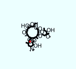 CC[C@H]1OC(=O)[C@H](C)[C@@H](OC2CC(C)(OC)C(O)C(C)O2)C(C)[C@@H](OC2OC(C)CC(N(C)C)C2O)[C@](C)(OC)C[C@@H](C)C(=O)[C@H](C)[C@@H](O)[C@]1(C)O